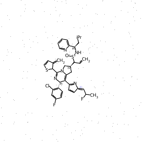 C=CC([C@H]1CC2=C(C3=N/C(=C/C(C)F)C=C3)[C@H](c3ccc(F)cc3Cl)N=C(C3SC=CC3=C)N2C1)[S+]([O-])N[C@H](CC(C)C)c1ccccn1